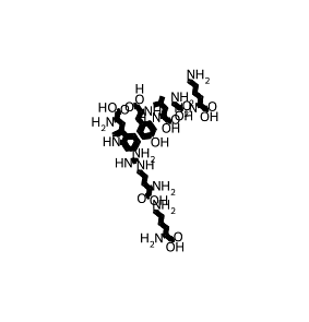 CC(C)CC(N)C(=O)O.N=C(N)NCCCC(N)C(=O)O.NC(Cc1c[nH]c2ccccc12)C(=O)O.NC(Cc1ccc(O)cc1)C(=O)O.NCC(=O)O.NCCCCC(N)C(=O)O.NCCCCC(N)C(=O)O